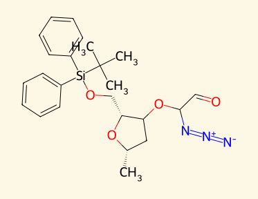 C[C@H]1CC(OC(C=O)N=[N+]=[N-])[C@@H](CO[Si](c2ccccc2)(c2ccccc2)C(C)(C)C)O1